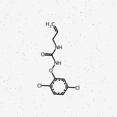 C=CCNC(=O)NOc1cc(Cl)ccc1Cl